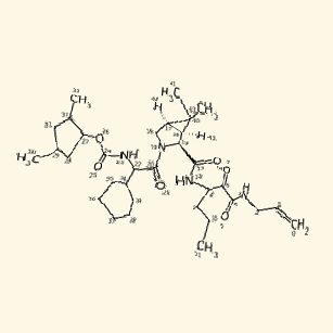 C=CCNC(=O)C(=O)C(CCC)NC(=O)[C@@H]1[C@H]2[C@@H](CN1C(=O)C(NC(=O)OC1CC(C)CC1C)C1CCCCC1)C2(C)C